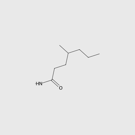 CCCC(C)CCC([NH])=O